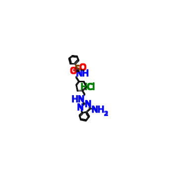 Cl.Nc1nc(NCC2CCC(CNS(=O)(=O)c3ccccc3)CC2)nc2ccccc12